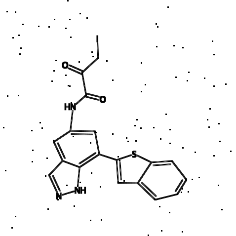 O=C(CI)C(=O)Nc1cc(-c2cc3ccccc3s2)c2[nH]ncc2c1